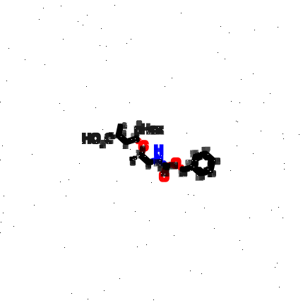 CCCCCC[C@H](C[C@@H](C)C(=O)O)O[C@@H](C)CNC(=O)OCc1ccccc1